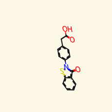 O=C(O)Cc1ccc(-n2sc3ccccc3c2=O)cc1